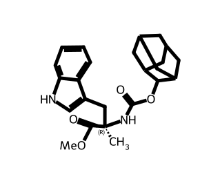 COC(=O)[C@@](C)(Cc1c[nH]c2ccccc12)NC(=O)OC1C2CC3CC(C2)CC1C3